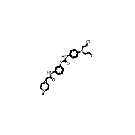 CN1CCN(CC(=O)Nc2cccc(NC(=O)Nc3ccc(N(CCCl)CCCl)cc3)c2)CC1